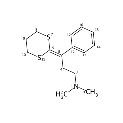 CN(C)CCC(=C1SCCCS1)c1ccccc1